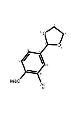 COc1ccc(C2OCCO2)cc1C(C)=O